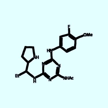 CCC(Nc1nc(NC(C)=O)nc(Nc2ccc(OC)c(F)c2)n1)C1CCCN1